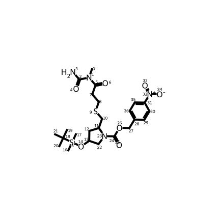 CN(C(N)=O)C(=O)CCSCC1CC(O[Si](C)(C)C(C)(C)C)CN1C(=O)OCc1ccc([N+](=O)[O-])cc1